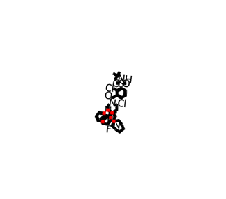 Cc1nc2ccccc2n1C1CC2CCC(C1)N2CCC1(c2cccc(F)c2)CCN(C(=O)c2c(Cl)ccc(S(=O)(=O)NC(C)(C)C)c2Cl)CC1